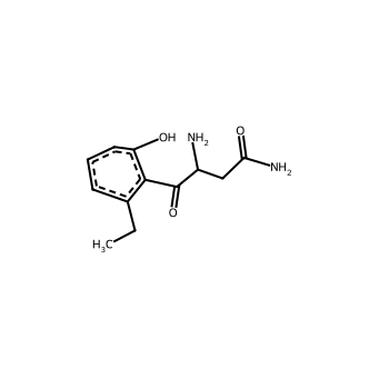 CCc1cccc(O)c1C(=O)C(N)CC(N)=O